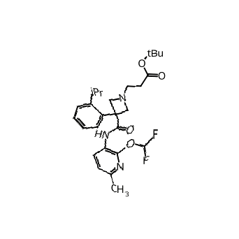 Cc1ccc(NC(=O)C2(c3ccccc3C(C)C)CN(CCC(=O)OC(C)(C)C)C2)c(OC(F)F)n1